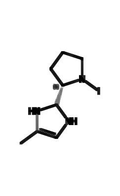 CC1=CNC([C@@H]2CCCN2I)N1